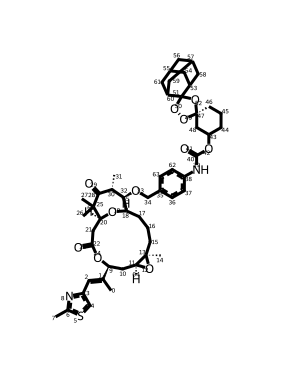 C/C(=C\c1csc(C)n1)[C@@H]1C[C@@H]2O[C@]2(C)CCC[C@@H]2O[C@@H](CC(=O)O1)C(C)(C)C(=O)[C@H](C)[C@H]2OCc1ccc(NC(=O)OC2CCC[C@]3(C2)OOC2(O3)C3CC4CC(C3)CC2C4)cc1